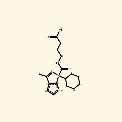 CC1=N[N+](C(=O)NCCCC(=O)O)(C2CCCCC2)c2sccc21